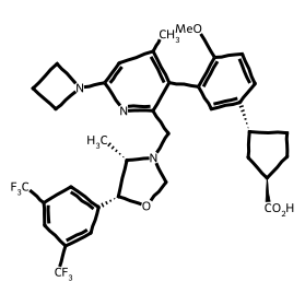 COc1ccc([C@@H]2CC[C@@H](C(=O)O)C2)cc1-c1c(C)cc(N2CCC2)nc1CN1CO[C@H](c2cc(C(F)(F)F)cc(C(F)(F)F)c2)[C@@H]1C